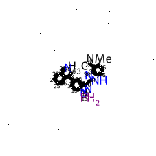 CNC(C)c1cccc2[nH]c(-c3nn(P)c4ccc(-c5cncc6ccccc56)cc34)nc12